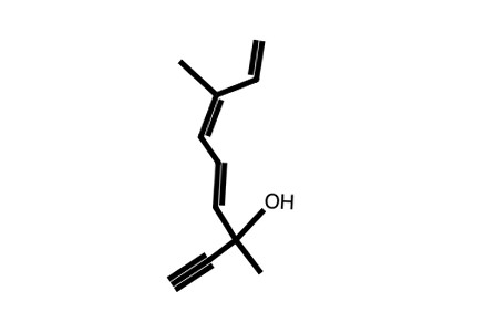 C#CC(C)(O)C=CC=C(C)C=C